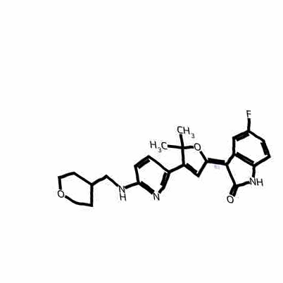 CC1(C)O/C(=C2/C(=O)Nc3ccc(F)cc32)C=C1c1ccc(NCC2CCOCC2)nc1